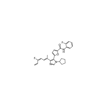 C=C/C(F)=C\C=C(/C)c1ncn(C2CCCC2)c1-c1ccc(C(=O)Nc2ccccc2F)o1